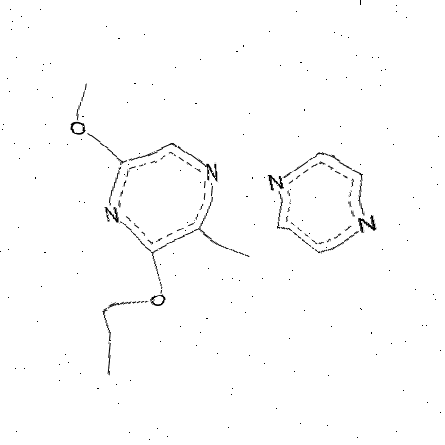 CCOc1nc(OC)cnc1C.c1cnccn1